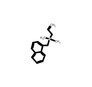 C=CC[N+](C)(C)Cc1cccc2ccccc12